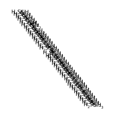 [SiH3][SiH2][SiH2][SiH2][SiH2][SiH2][SiH2][SiH2][SiH2][SiH2][SiH2][SiH2][SiH2][SiH2][SiH2][SiH2][SiH2][SiH2][SiH2][SiH2][SiH2][SiH2][SiH2][SiH2][SiH2][SiH2][SiH2][SiH2][SiH2][SiH2][SiH2][SiH2][SiH2][SiH2][SiH2][SiH2][SiH2][SiH2][SiH2][SiH2][SiH2][SiH2][SiH2][SiH2][SiH2][SiH2][SiH2][SiH2][SiH2][SiH2][SiH2][SiH2][SiH2][SiH2][SiH2][SiH2][SiH2][SiH2][SiH2][SiH2][SiH2][SiH2][SiH2][SiH2][SiH2][SiH2][SiH2][SiH2][SiH2][SiH2][SiH2][SiH2][SiH2][SiH3]